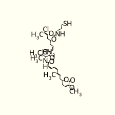 COC1=CCC(C/C=C(C)/C=C\C=C/C(=O)NC(C(=O)N/C=C\CC(C/C=C(\C)Cl)OC(=O)NCCCS)C(C)(C)C)OC1=O